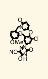 COc1ccc(Cn2cc(Oc3c(Cl)cc(-n4nc(C#N)c(=O)[nH]c4=O)cc3Cl)ccc2=O)cc1